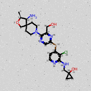 C[C@@H]1OCC2(CCN(c3ncc(Sc4ccnc(NCC5(O)CC5)c4Cl)nc3CO)CC2)[C@@H]1N